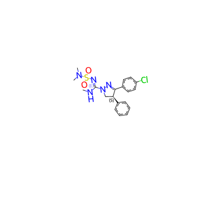 CN/C(=N\S(=O)(=O)N(C)C)N1C[C@H](c2ccccc2)C(c2ccc(Cl)cc2)=N1